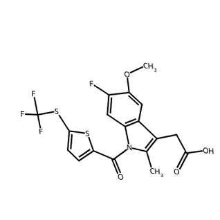 COc1cc2c(CC(=O)O)c(C)n(C(=O)c3ccc(SC(F)(F)F)s3)c2cc1F